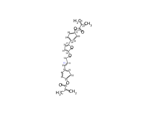 C=C(C)C(=O)Oc1ccc(/C=C/COc2ccc(-c3ccc(OC(=O)C(=C)C)cc3)o2)cc1